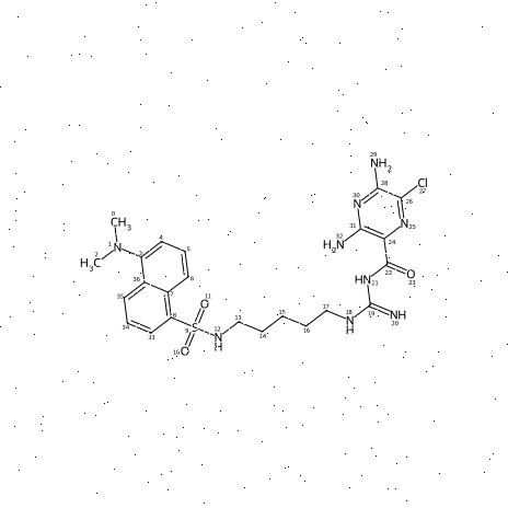 CN(C)c1cccc2c(S(=O)(=O)NCCCCCNC(=N)NC(=O)c3nc(Cl)c(N)nc3N)cccc12